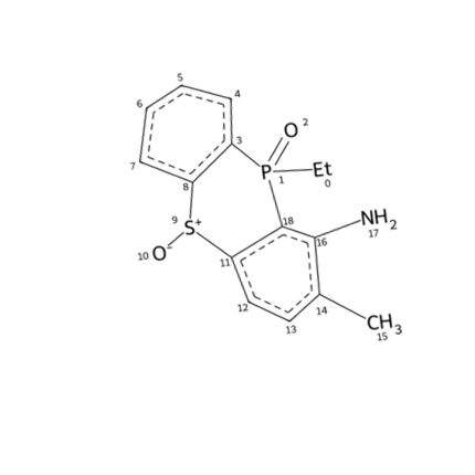 CCP1(=O)c2ccccc2[S+]([O-])c2ccc(C)c(N)c21